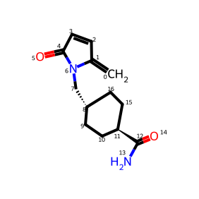 C=C1C=CC(=O)N1C[C@H]1CC[C@H](C(N)=O)CC1